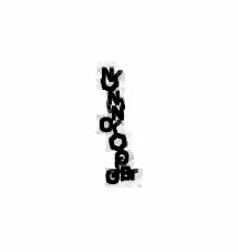 Cc1cc(N2CCN(CC(=O)c3ccc(OCC(=O)Br)cc3)CC2)ccn1